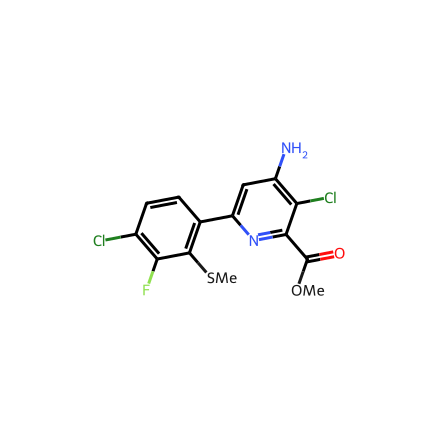 COC(=O)c1nc(-c2ccc(Cl)c(F)c2SC)cc(N)c1Cl